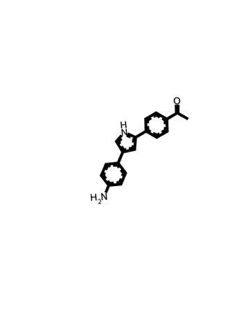 CC(=O)c1ccc(-c2cc(-c3ccc(N)cc3)c[nH]2)cc1